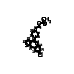 CC(=O)OCCN1CCN(C2=Nc3ccc(Cl)cc3Cc3sccc32)CC1